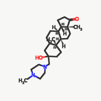 CN1CCN(CC2(O)CC[C@@]3(C)C(CC[C@@H]4[C@H]3CC[C@]3(C)C(=O)CC[C@@H]43)C2)CC1